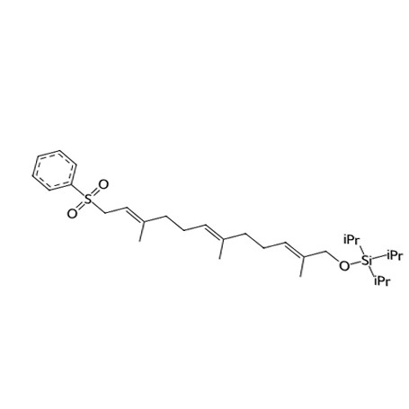 C/C(=C\CC/C(C)=C/CS(=O)(=O)c1ccccc1)CC/C=C(\C)CO[Si](C(C)C)(C(C)C)C(C)C